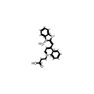 CN1/C(=C\c2cc[n+](CCC(=O)O)c3ccccc23)Sc2ccccc21